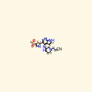 CS(=O)(=O)c1cnc(-c2cnc3[nH]ccc3c2NC2CCCN(CCC#N)C2)s1